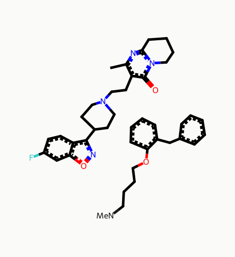 CNCCCCOc1ccccc1Cc1ccccc1.Cc1nc2n(c(=O)c1CCN1CCC(c3noc4cc(F)ccc34)CC1)CCCC2